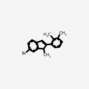 Cc1cccc(C2=Cc3ccc(Br)cc3C2C)c1C